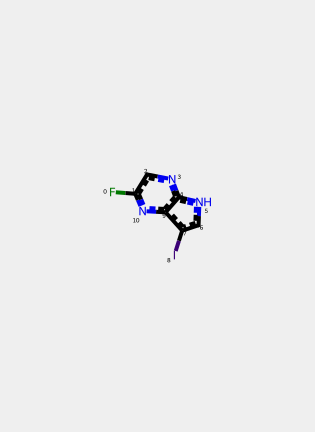 Fc1cnc2[nH]cc(I)c2n1